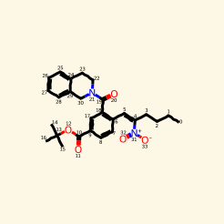 CCCCC(=Cc1ccc(C(=O)OC(C)(C)C)cc1C(=O)N1CCc2ccccc2C1)[N+](=O)[O-]